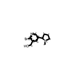 CN1CCCC1c1cnc(Br)c(CO)c1